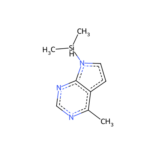 Cc1ncnc2c1ccn2[SiH](C)C